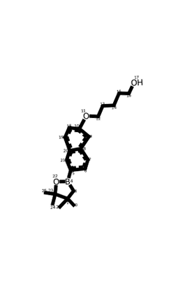 CC1(C)CB(c2ccc3cc(OCCCCCO)ccc3c2)OC1(C)C